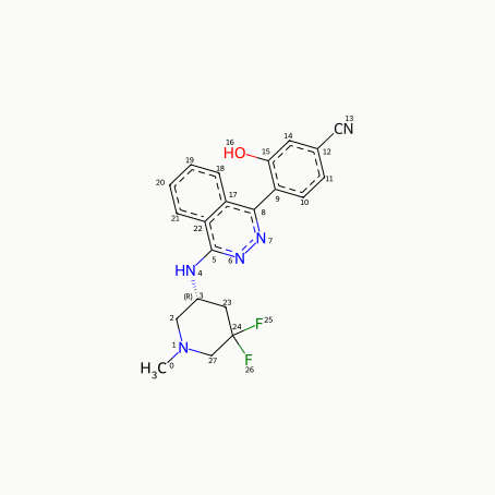 CN1C[C@H](Nc2nnc(-c3ccc(C#N)cc3O)c3ccccc23)CC(F)(F)C1